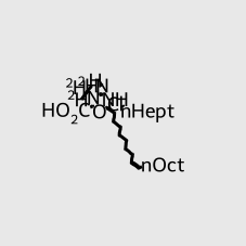 CCCCCCCCl.[H]/N=C(/NC(=O)CCCCCCC/C=C\CCCCCCCC)N(CC(=O)O)C([2H])([2H])[2H]